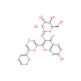 O=c1c(O[C@@H]2O[C@H](CO)[C@H](O)[C@H](O)[C@H]2O)c(C2=COC=C(C3=CC=CCC3)O2)oc2cc(O)ccc12